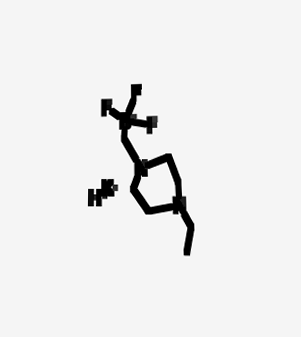 CCN1CCN(C[B-](F)(F)F)CC1.[H+].[K]